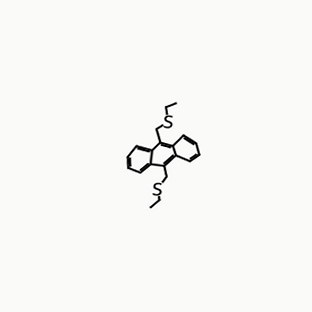 CCSCc1c2ccccc2c(CSCC)c2ccccc12